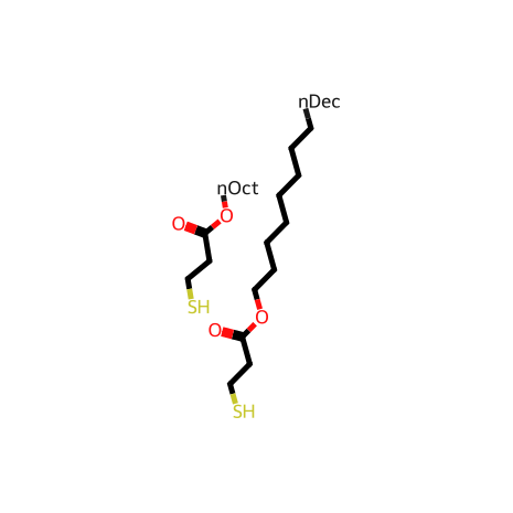 CCCCCCCCCCCCCCCCCCOC(=O)CCS.CCCCCCCCOC(=O)CCS